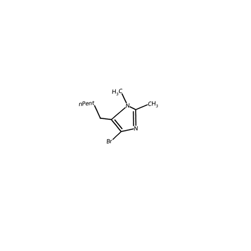 CCCCCCc1c(Br)nc(C)n1C